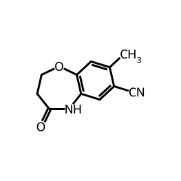 Cc1cc2c(cc1C#N)NC(=O)CCO2